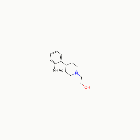 CC(=O)Nc1ccccc1C1CCN(CCO)CC1